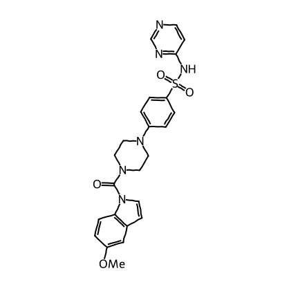 COc1ccc2c(ccn2C(=O)N2CCN(c3ccc(S(=O)(=O)Nc4ccncn4)cc3)CC2)c1